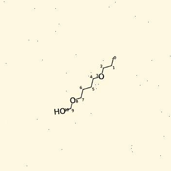 CCCOCCCCOCO